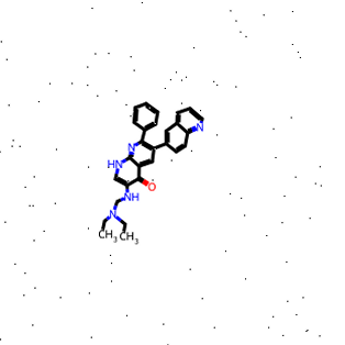 CCN(CC)CNc1c[nH]c2nc(-c3ccccc3)c(-c3ccc4ncccc4c3)cc2c1=O